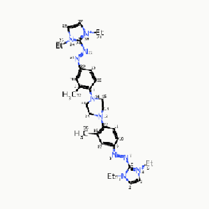 CCn1cc[n+](CC)c1/N=N/c1ccc(N2CCN(c3ccc(/N=N/c4n(CC)cc[n+]4CC)cc3C)CC2)c(C)c1